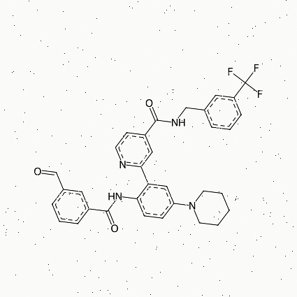 O=Cc1cccc(C(=O)Nc2ccc(N3CCCCC3)cc2-c2cc(C(=O)NCc3cccc(C(F)(F)F)c3)ccn2)c1